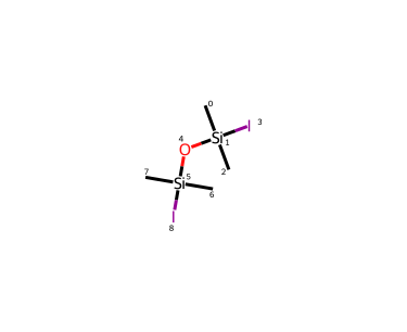 C[Si](C)(I)O[Si](C)(C)I